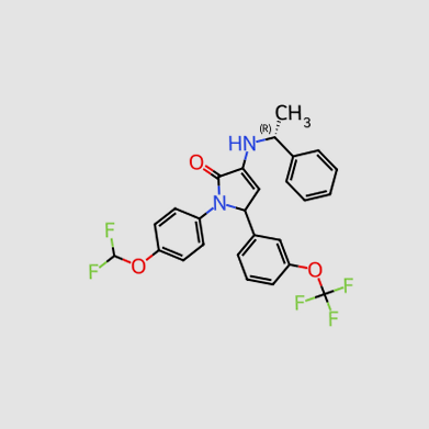 C[C@@H](NC1=CC(c2cccc(OC(F)(F)F)c2)N(c2ccc(OC(F)F)cc2)C1=O)c1ccccc1